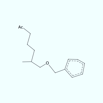 CC(=O)CCCC(C)COCc1ccccc1